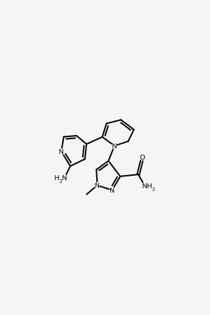 Cn1cc(N2CC=CC=C2c2ccnc(N)c2)c(C(N)=O)n1